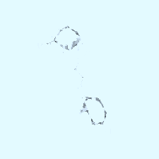 O=Cc1ccc(OCCOc2cccc(Br)c2)cc1